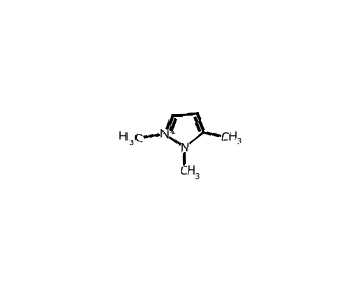 Cc1cc[n+](C)n1C